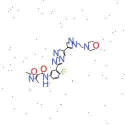 Cc1nc(C)c(C(=O)Nc2ccc(F)c(-c3cn4cc(-c5cnn(CCN6CCOCC6)c5)cnc4n3)c2)o1